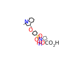 Cc1cc(COc2ccc(S(=O)(=O)N[C@@H]3CCC[C@]3(O)C(=O)O)cc2)c2ccccc2n1